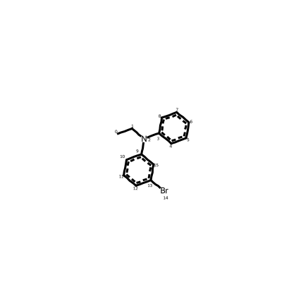 CCN(c1ccccc1)c1cccc(Br)c1